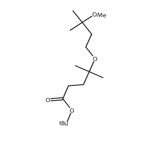 COC(C)(C)CCOC(C)(C)CCC(=O)OC(C)(C)C